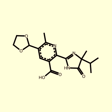 Cc1nc(C2=NC(C)(C(C)C)C(=O)N2)c(C(=O)O)cc1C1OCCO1